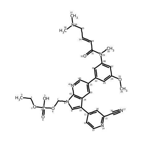 CCOP(=O)(O)OCn1cc(-c2ccnc(C#N)c2)c2cc(-c3cc(OC)cc(N(C)C(=O)/C=C/CN(C)C)c3)cnc21